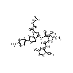 Cc1ncc(-c2ccc3c(c2)c(C(=O)NCC2CC2)nn3CC(=O)N2[C@H](C)[C@@H](C)C[C@H]2C(=O)Nc2nc(Br)ccc2C)cn1